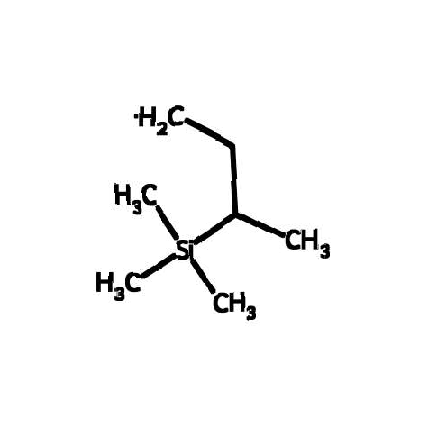 [CH2]CC(C)[Si](C)(C)C